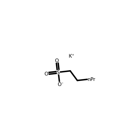 CCCCCS(=O)(=O)[O-].[K+]